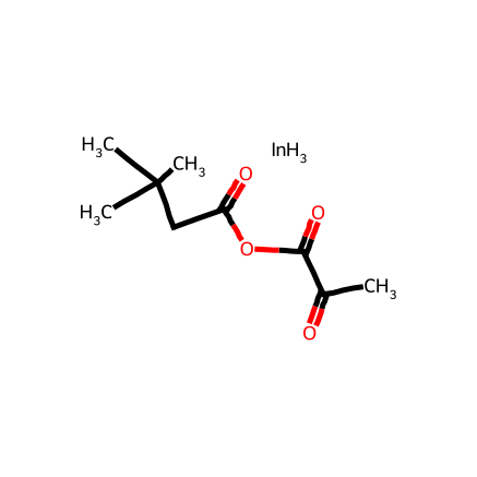 CC(=O)C(=O)OC(=O)CC(C)(C)C.[InH3]